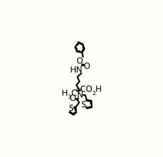 C[C@](CCCCNC(=O)OCc1ccccc1)(C(=O)O)N(Cc1cccs1)C(=O)Cc1cccs1